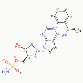 C[C@@H](Nc1ncnc2c1ccn2[C@@H]1C[C@@H](COS(N)(=O)=O)[C@@H](O)C1)c1ccccc1